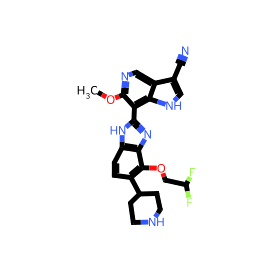 COc1ncc2c(C#N)c[nH]c2c1-c1nc2c(OCC(F)F)c(C3CCNCC3)ccc2[nH]1